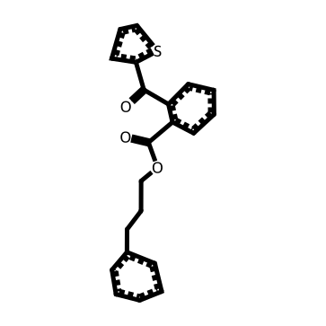 O=C(OCCCc1ccccc1)c1ccccc1C(=O)c1cccs1